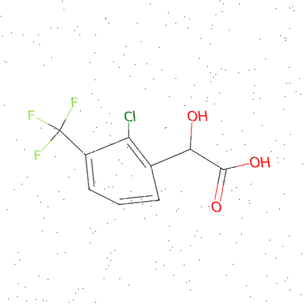 O=C(O)C(O)c1cccc(C(F)(F)F)c1Cl